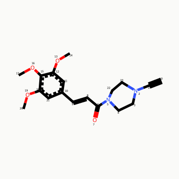 C#CN1CCN(C(=O)C=Cc2cc(OC)c(OC)c(OC)c2)CC1